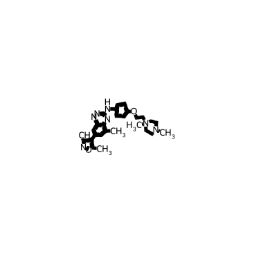 Cc1noc(C)c1-c1cc(C)c2nc(Nc3ccc(OCC[N+]4(C)CCN(C)CC4)cc3)nnc2c1